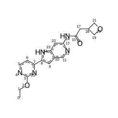 CCOc1nccc(-c2cc3cnc(NC(=O)CC4COC4)cc3[nH]2)n1